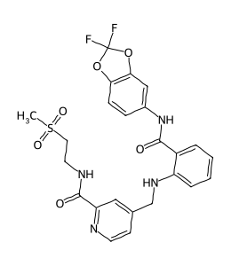 CS(=O)(=O)CCNC(=O)c1cc(CNc2ccccc2C(=O)Nc2ccc3c(c2)OC(F)(F)O3)ccn1